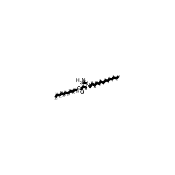 CCCCCCCCCCCCCCN(CCN)CCC(=O)OCCCCCCCCCCC